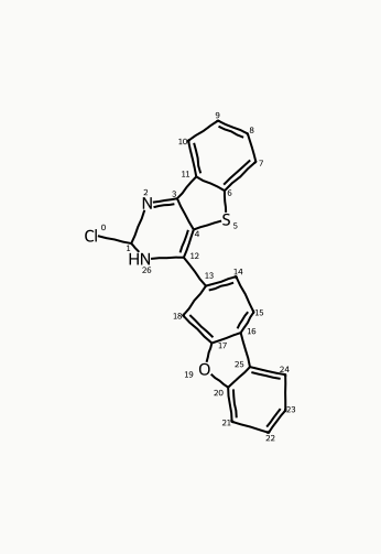 ClC1N=c2c(sc3ccccc23)=C(c2ccc3c(c2)oc2ccccc23)N1